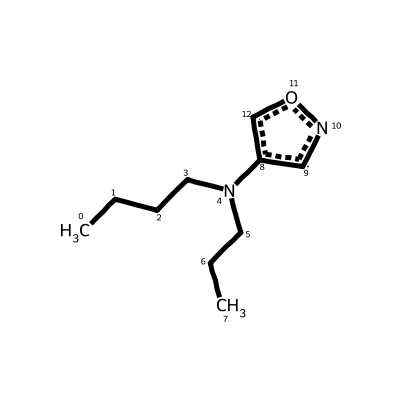 CCCCN(CCC)c1[c]noc1